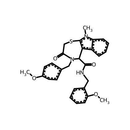 COc1ccc(CN2C(=O)CSc3c(c4ccccc4n3C)C2C(=O)NCc2ccccc2OC)cc1